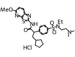 CCN(CCN(C)C)S(=O)(=O)c1ccc(C(CC2CCCC2)C(=O)Nc2nc3ccc(OC)nc3s2)cc1.Cl